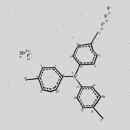 Cc1ccc([S+](c2ccc(C)cc2)c2ccc(C)cc2)cc1.[F-].[F-].[F-].[F-].[Sb+3]